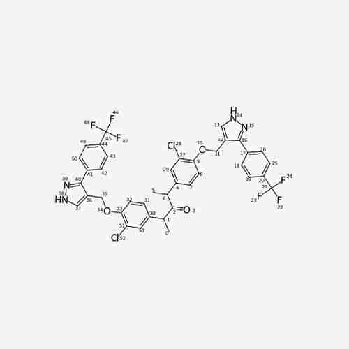 CC(C(=O)C(C)c1ccc(OCc2c[nH]nc2-c2ccc(C(F)(F)F)cc2)c(Cl)c1)c1ccc(OCc2c[nH]nc2-c2ccc(C(F)(F)F)cc2)c(Cl)c1